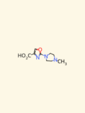 CN1CCN(c2nc(C(=O)O)co2)CC1